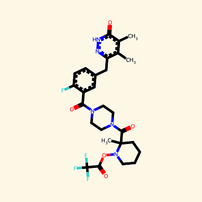 Cc1c(Cc2ccc(F)c(C(=O)N3CCN(C(=O)C4(C)CCCCN4OC(=O)C(F)(F)F)CC3)c2)n[nH]c(=O)c1C